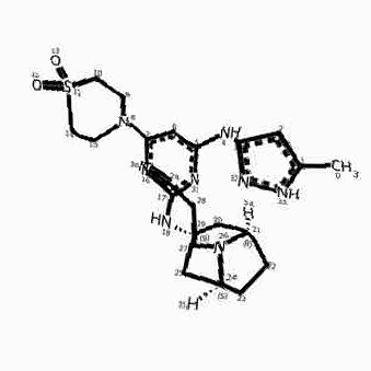 Cc1cc(Nc2cc(N3CCS(=O)(=O)CC3)nc(N[C@@H]3C[C@H]4CC[C@@H](C3)N4CCC#N)n2)n[nH]1